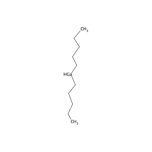 CCCC[CH2][GaH][CH2]CCCC